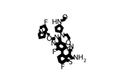 N#Cc1c(N)sc2c(F)ccc(-c3c(Cl)c4c5c(nc(OC[C@@]67CCCN6C[C@H](F)C7)nc5c3F)N(C3CCC(NC=O)C3)CCO4)c12